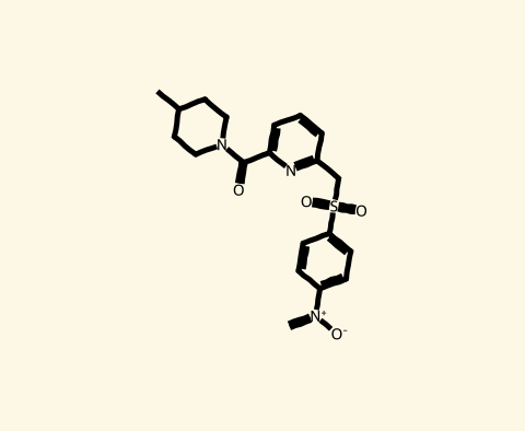 C=[N+]([O-])c1ccc(S(=O)(=O)Cc2cccc(C(=O)N3CCC(C)CC3)n2)cc1